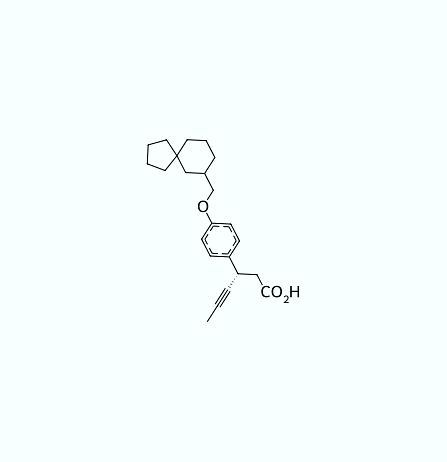 CC#C[C@@H](CC(=O)O)c1ccc(OCC2CCCC3(CCCC3)C2)cc1